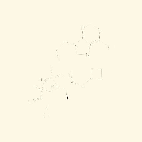 CCCOC(=O)C(C)(C)NP(=O)(CO[C@H](C)Cn1cnc2c(N)ncnc21)N[C@H](C)C(=O)OC1CCC1